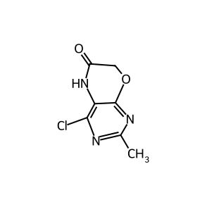 Cc1nc(Cl)c2c(n1)OCC(=O)N2